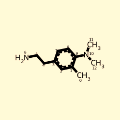 Cc1cc(CCN)ccc1N(C)C